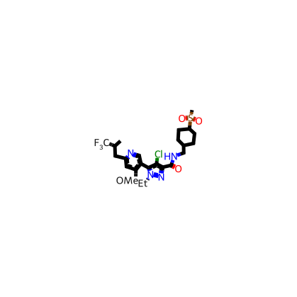 CCn1nc(C(=O)NCC2CCC(S(C)(=O)=O)CC2)c(Cl)c1-c1cnc(CC(C)C(F)(F)F)cc1OC